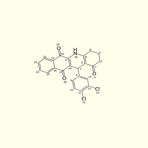 O=C1CCCC2=C1C(c1ccc(Cl)c(Cl)c1)C1=C(N2)C(=O)c2ccccc2C1=O